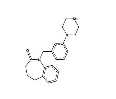 O=C1CCCc2ccccc2N1Cc1cccc(N2CCNCC2)c1